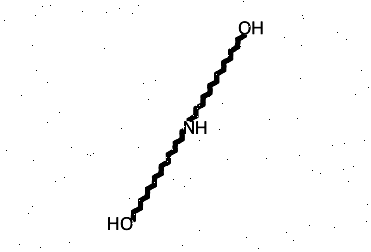 OCCCCCCCCCCCCCCCCNCCCCCCCCCCCCCCCCO